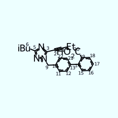 CCC#Cc1nc(C(C)CC)nn1Cc1ccc(-c2ccccc2C(=O)O)cc1